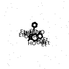 CC[Si](CC)(CC)OC1C[C@@]2(O)[C@@H](OC(=O)c3ccccc3)[C@H]3[C@@](C)(C(O[Si](CC)(CC)CC)CC4OC[C@]43OC(C)=O)[C@@H](O)[C@@H](O)C(=C1C)C2(C)C